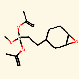 C=C(C)O[Si](CCC1CCC2OC2C1)(OC)OC(=C)C